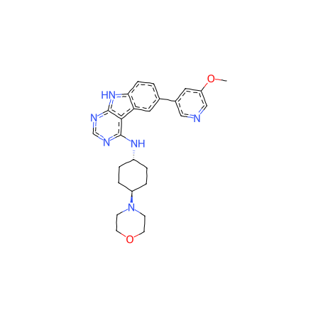 COc1cncc(-c2ccc3[nH]c4ncnc(N[C@H]5CC[C@H](N6CCOCC6)CC5)c4c3c2)c1